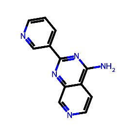 Nc1nc(-c2cccnc2)nc2cnccc12